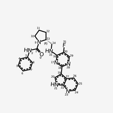 O=C(Nc1ccccc1)N1CCC[C@@H]1CNc1nc(-c2c[nH]c3ncccc23)ncc1F